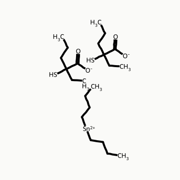 CCCC(S)(CC)C(=O)[O-].CCCC(S)(CC)C(=O)[O-].CCC[CH2][Sn+2][CH2]CCC